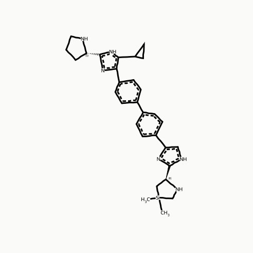 C[Si]1(C)CN[C@H](c2nc(-c3ccc(-c4ccc(-c5nc([C@@H]6CCCN6)[nH]c5C5CC5)cc4)cc3)c[nH]2)C1